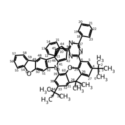 CC(C)(C)c1cc(-c2nc(-c3ccccc3)nc(-c3ccccc3)n2)c2c(c1)C(C)(C)c1cc(C(C)(C)C)cc(-n3c4ccccc4c4cc5c(cc43)oc3ccccc35)c1O2